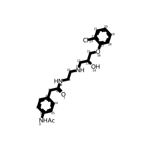 CC(=O)Nc1ccc(CC(=O)NCCNCC(O)COc2ccccc2Cl)cc1